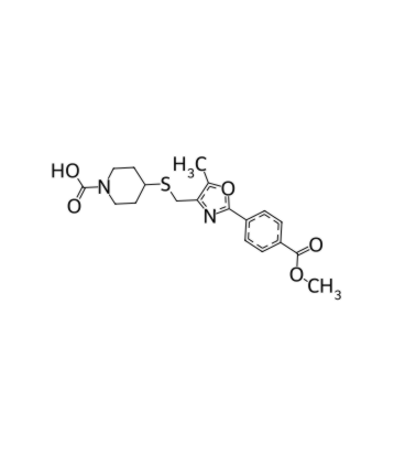 COC(=O)c1ccc(-c2nc(CSC3CCN(C(=O)O)CC3)c(C)o2)cc1